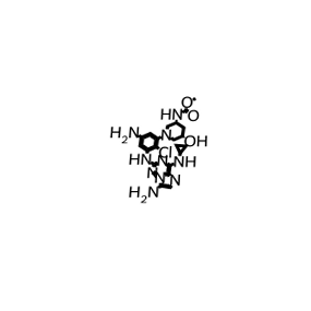 COC(=O)N[C@H]1C[C@H](O)CN(c2cc(N)cc(Nc3nc(NC4CC4)c4ncc(N)n4n3)c2Cl)C1